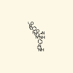 CCC(=O)n1ccc2c(F)c(Oc3ncnc(Nc4ccc(N5CCNCC5)cc4)c3C#N)ccc21